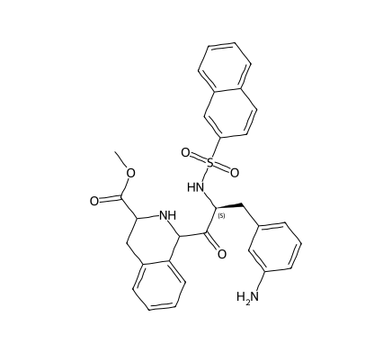 COC(=O)C1Cc2ccccc2C(C(=O)[C@H](Cc2cccc(N)c2)NS(=O)(=O)c2ccc3ccccc3c2)N1